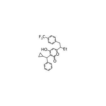 CCC(Cc1ccc(C(F)(F)F)cc1)c1cc(O)c(C(c2ccccc2)C2CC2)c(=O)o1